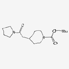 CC(C)(C)OC(=O)N1CCC(CC(=O)N2CCCC2)CC1